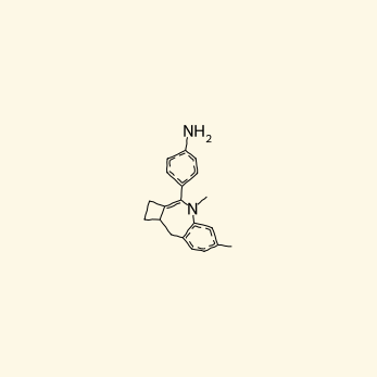 Cc1ccc2c(c1)N(C)C(c1ccc(N)cc1)=C1CCC1C2